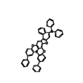 c1ccc(-c2ccc3c(c2)B2c4cc(-c5ccccc5)ccc4Oc4c2c(cc2c4oc4cc(N(c5ccccc5)c5ccccc5)c5ccccc5c42)O3)cc1